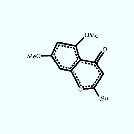 COc1cc(OC)c2c(=O)cc(C(C)(C)C)oc2c1